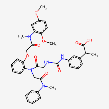 COc1ccc(OC)c(N(C)C(=O)COc2ccccc2N(CC(=O)N(C)c2ccccc2)C(=O)CNC(=O)Nc2cccc(C(C)C(=O)O)c2)c1